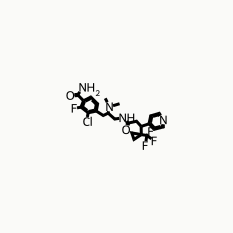 CN(C)C(CNC(=O)CC(c1ccncc1)C1(C(F)(F)F)CC1)Cc1ccc(C(N)=O)c(F)c1Cl